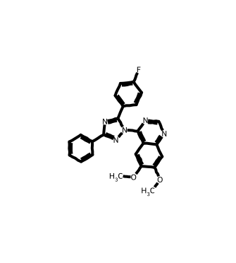 COc1cc2ncnc(-n3nc(-c4ccccc4)nc3-c3ccc(F)cc3)c2cc1OC